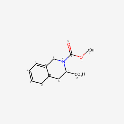 CC(C)(C)OC(=O)N1CC2=CC=CCC2CC1C(=O)O